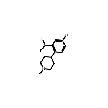 CN1CCC(c2ccc(Cl)cc2C(F)F)CC1